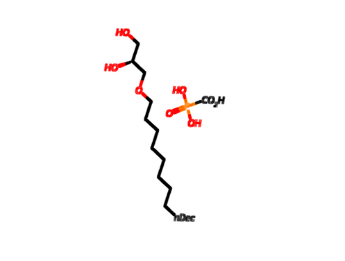 CCCCCCCCCCCCCCCCCCOC[C@@H](O)CO.O=C(O)P(=O)(O)O